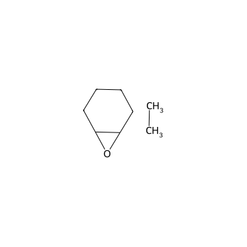 C1CCC2OC2C1.CC